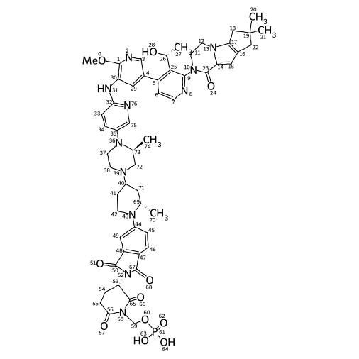 COc1ncc(-c2ccnc(N3CCn4c(cc5c4CC(C)(C)C5)C3=O)c2[C@@H](C)O)cc1Nc1ccc(N2CCN(C3CCN(c4ccc5c(c4)C(=O)N([C@H]4CCC(=O)N(COP(=O)(O)O)C4=O)C5=O)[C@@H](C)C3)C[C@@H]2C)cn1